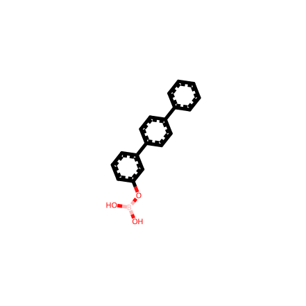 OB(O)Oc1cccc(-c2ccc(-c3ccccc3)cc2)c1